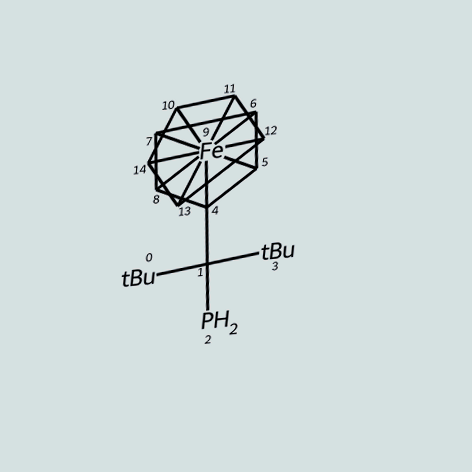 CC(C)(C)C(P)(C(C)(C)C)[C]12[CH]3[CH]4[CH]5[CH]1[Fe]45321678[CH]2[CH]1[CH]6[CH]7[CH]28